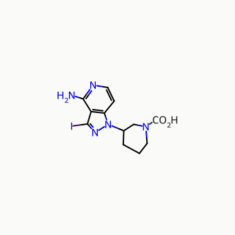 Nc1nccc2c1c(I)nn2C1CCCN(C(=O)O)C1